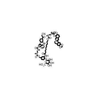 COc1ccc2cc3[n+](cc2c1OC(=O)N(C)CCN(C)C(=O)OCCCCCCCCCC(=O)Nc1cc(COC(=O)N(C)CCN(C)C(=O)n2ccc4c(N(C)[C@H]5CC(C(=O)CC#N)CC[C@H]5C)ncnc42)ccc1O[C@@H]1O[C@H](C(=O)O)[C@@H](O)[C@H](O)[C@H]1O)CCc1cc2c(cc1-3)OCO2